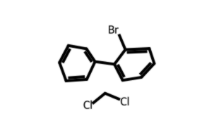 Brc1ccccc1-c1ccccc1.ClCCl